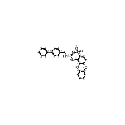 O=S1(=O)N=C(NCc2ccc(-c3ccccc3)cc2)Nc2c(Oc3ccccc3Cl)cccc21